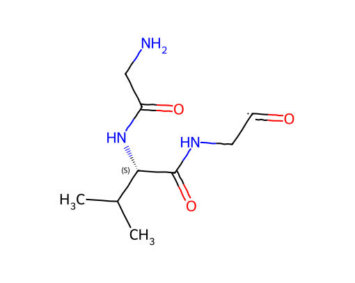 CC(C)[C@H](NC(=O)CN)C(=O)NC[C]=O